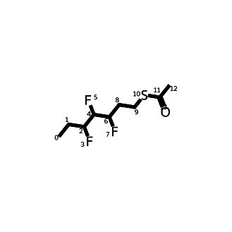 CCC(F)C(F)C(F)CCSC(C)=O